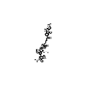 COc1cc(C2=CN(C)C(O)c3cnccc32)cc(OC)c1CN1CC(S(=O)(=O)NCCCCCNc2ccc3c(c2)C(=O)N(C2CCC(=O)NC2=O)C3=O)C1